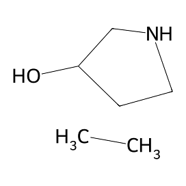 CC.OC1CCNC1